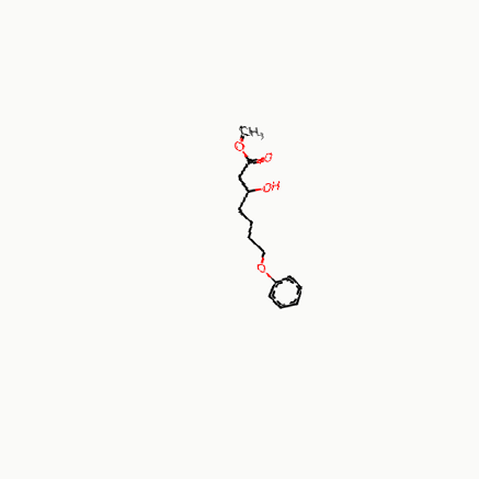 COC(=O)CC(O)CCCCOc1ccccc1